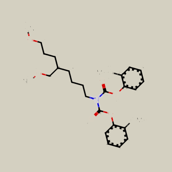 COc1ccccc1OC(=O)N(CCCCC(CCCOC#N)COC#N)C(=O)Oc1ccccc1OC